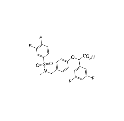 CN(Cc1ccc(OC(C(=O)O)c2cc(F)cc(F)c2)cc1)S(=O)(=O)c1ccc(F)c(F)c1